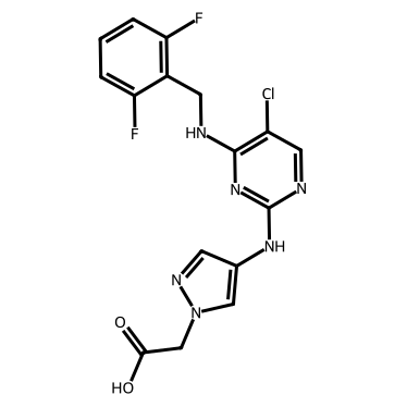 O=C(O)Cn1cc(Nc2ncc(Cl)c(NCc3c(F)cccc3F)n2)cn1